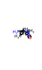 Cc1nc(N2CCOCC2)ccc1NC1C(C)CC2(CN)CC(C)CC1C2